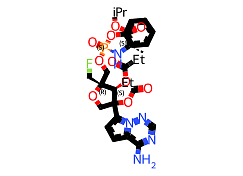 CCC(=O)O[C@H]1C(OC(=O)CC)(c2ccc3c(N)ncnn23)CO[C@]1(CF)CO[P@@](=O)(N[C@@H](C)C(=O)OC(C)C)Oc1ccccc1